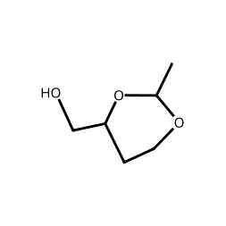 CC1OCCC(CO)O1